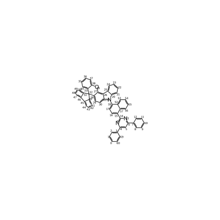 c1ccc(-c2cc(-c3ccccc3)nc(-c3ccc(-n4c5ccccc5c5c6c(ccc54)C4(c5ccccc5O6)c5ccccc5-c5ccccc54)c4ccccc34)n2)cc1